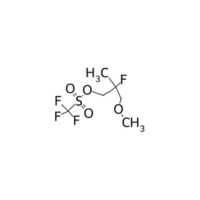 COCC(C)(F)COS(=O)(=O)C(F)(F)F